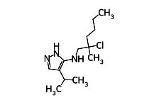 CCCCC(C)(Cl)CNc1[nH]ncc1C(C)C